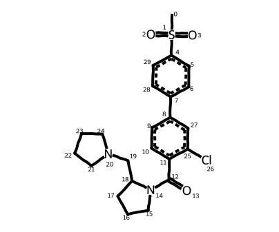 CS(=O)(=O)c1ccc(-c2ccc(C(=O)N3CCCC3CN3CCCC3)c(Cl)c2)cc1